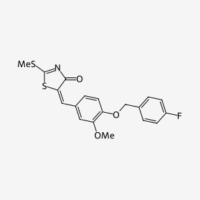 COc1cc(C=C2SC(SC)=NC2=O)ccc1OCc1ccc(F)cc1